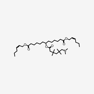 CCC/C=C\COC(=O)CCCCCC(CCCCCC(=O)OC/C=C\CCC)OC(=O)CC(C)(C)CC(C)(C)CN(C)C